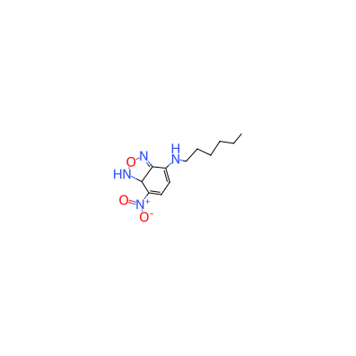 CCCCCCNC1=CC=C([N+](=O)[O-])C2NON=C12